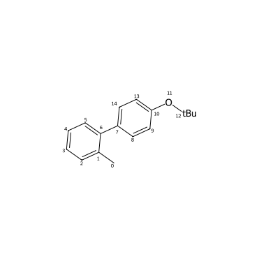 Cc1ccccc1-c1ccc(OC(C)(C)C)cc1